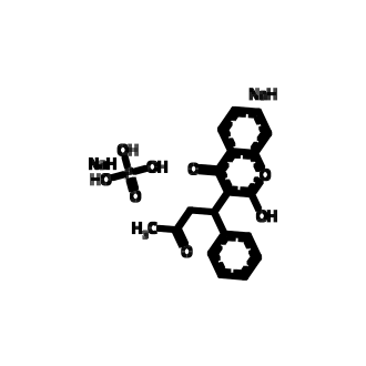 CC(=O)CC(c1ccccc1)c1c(O)oc2ccccc2c1=O.O=P(O)(O)O.[NaH].[NaH]